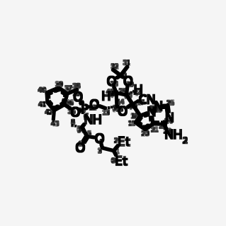 CCC(CC)COC(=O)[C@H](C)NP(=O)(OC[C@H]1O[C@@](C#N)(c2ccc3c(N)ncnn23)[C@@H]2OC(C)(C)O[C@@H]21)Oc1c(C)cccc1C